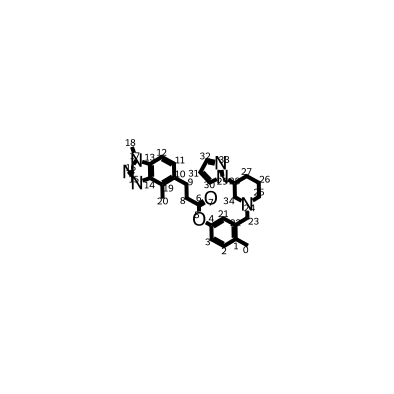 Cc1ccc(OC(=O)CCc2ccc3c(nnn3C)c2C)cc1CN1CCCC(n2cccn2)C1